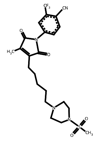 CC1=C(CCCCCN2CCN(S(C)(=O)=O)CC2)C(=O)N(c2ccc(C#N)c(C(F)(F)F)c2)C1=O